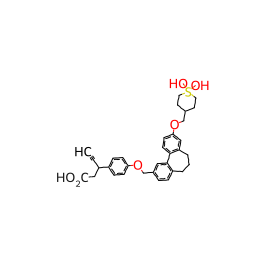 C#CC(CC(=O)O)c1ccc(OCc2ccc3c(c2)-c2ccc(OCC4CCS(O)(O)CC4)cc2CCC3)cc1